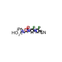 CC(C)CN(CC1CN(c2ccc(N3CCC(=CC#N)C(F)C3)c(F)c2)C(=O)O1)C(=O)O